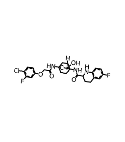 O=C(COc1ccc(Cl)c(F)c1)NC12CCC(NC(=O)C3CCc4cc(F)ccc4N3)(CC1)[C@@H](O)C2